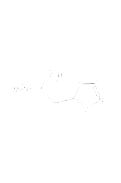 CN[C@@H](Cc1cncs1)C(=O)O